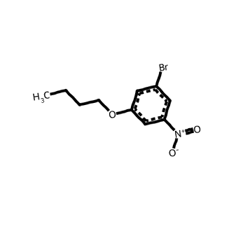 CCCCOc1cc(Br)cc([N+](=O)[O-])c1